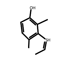 C/C=[SH]\c1c(C)ccc(O)c1C